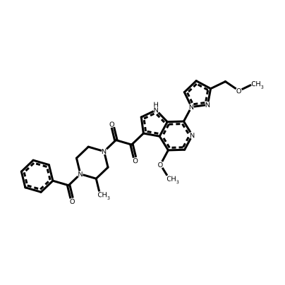 COCc1ccn(-c2ncc(OC)c3c(C(=O)C(=O)N4CCN(C(=O)c5ccccc5)C(C)C4)c[nH]c23)n1